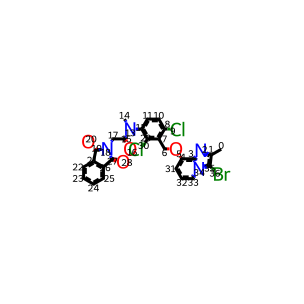 Cc1nc2c(OCc3c(Cl)ccc(N(C)C(=O)CN4C(=O)c5ccccc5C4=O)c3Cl)cccn2c1Br